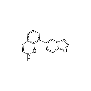 C1=Cc2cccc(-c3ccc4occc4c3)c2ON1